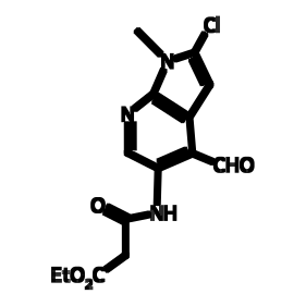 CCOC(=O)CC(=O)Nc1cnc2c(cc(Cl)n2C)c1C=O